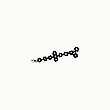 CC(C)(C)c1ccc(-c2ccc(-c3ccc(-c4c5ccccc5c(-c5ccc(-c6ccc(-c7ccc8c(c7)c7ccccc7n8-c7ccccc7)cc6)cc5)c5ccccc45)cc3)cc2)cc1